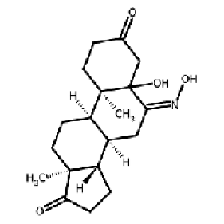 C[C@]12CC[C@@H]3[C@@H](C/C(=N/O)C4(O)CC(=O)CC[C@]34C)[C@@H]1CCC2=O